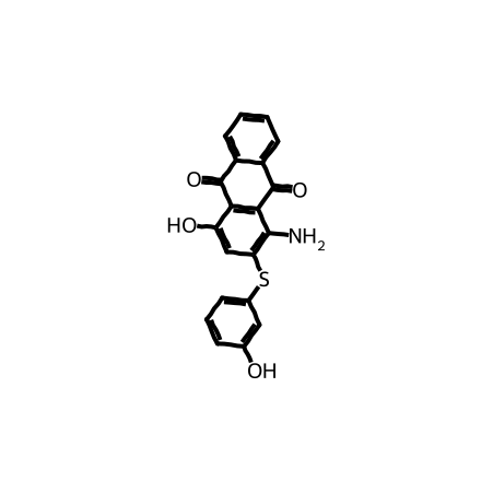 Nc1c(Sc2cccc(O)c2)cc(O)c2c1C(=O)c1ccccc1C2=O